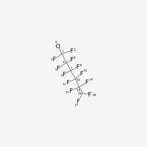 [O]C(F)(F)C(F)(F)C(F)(F)C(F)(F)C(F)(F)C(F)F